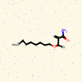 C=C(C(N)=O)C(CC)OCCCCCCCCCCCCCCCC